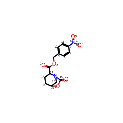 O=C(OCc1ccc([N+](=O)[O-])cc1)C1CCC2CN1C(=O)O2